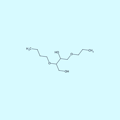 CCCCOC(CO)C(O)COCCC